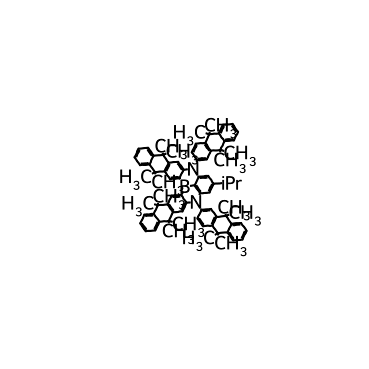 CC(C)c1cc2c3c(c1)N(c1ccc4c(c1)C(C)(C)c1ccccc1C4(C)C)c1cc4c(cc1B3c1cc3c(cc1N2c1ccc2c(c1)C(C)(C)c1ccccc1C2(C)C)C(C)(C)c1ccccc1C3(C)C)C(C)(C)c1ccccc1C4(C)C